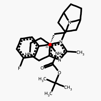 Cc1nc2c(n1C1CC3CCC(C1)N3CC[C@H](NC(=O)OC(C)(C)C)c1cccc(F)c1)CCNC2